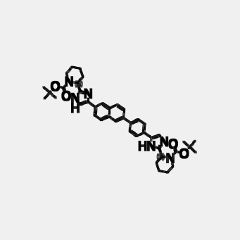 CC(C)(C)OC(=O)N1CCCC[C@H]1c1nc(-c2ccc3cc(-c4ccc(-c5cnc([C@@H]6CCCCN6C(=O)OC(C)(C)C)[nH]5)cc4)ccc3c2)c[nH]1